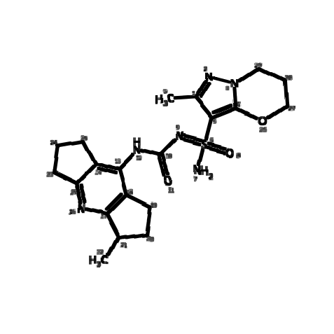 Cc1nn2c(c1S(N)(=O)=NC(=O)Nc1c3c(nc4c1CCC4C)CCC3)OCCC2